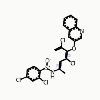 C=C(Cl)/C(Oc1cnc2ccccc2c1)=C(Cl)\C=C(/C)N[S+]([O-])c1ccc(Cl)cc1Cl